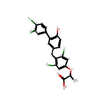 CC(Oc1cc(Cl)c(Cc2ccc(O)c(-c3ccc(F)c(Cl)c3)c2)c(Cl)c1)C(=O)O